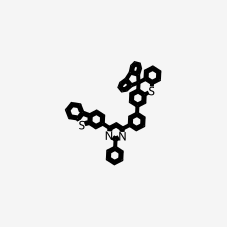 c1ccc(-c2nc(-c3cccc(-c4ccc5c(c4)Sc4ccccc4C54c5ccccc5-c5ccccc54)c3)cc(-c3ccc4c(c3)sc3ccccc34)n2)cc1